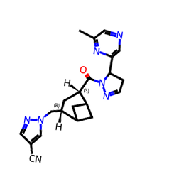 Cc1cncc(C2CC=NN2C(=O)[C@H]2C[C@@H](Cn3cc(C#N)cn3)C3CC2C3)n1